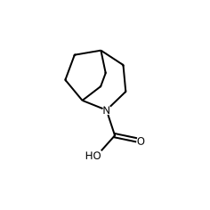 O=C(O)N1CCC2CCC1CC2